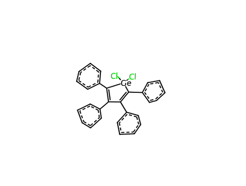 [Cl][Ge]1([Cl])[C](c2ccccc2)=C(c2ccccc2)C(c2ccccc2)=[C]1c1ccccc1